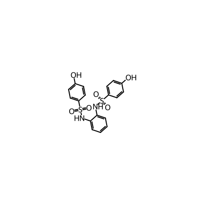 O=S(=O)(Nc1ccccc1NS(=O)(=O)c1ccc(O)cc1)c1ccc(O)cc1